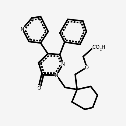 O=C(O)COCC1(Cn2nc(-c3ccccc3)c(-c3cccnc3)cc2=O)CCCCC1